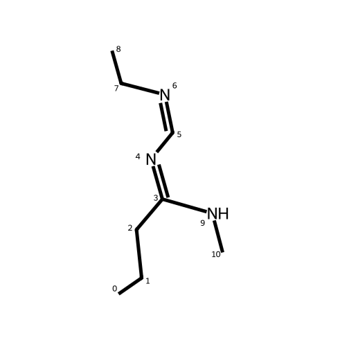 CCC/C(=N/C=N\CC)NC